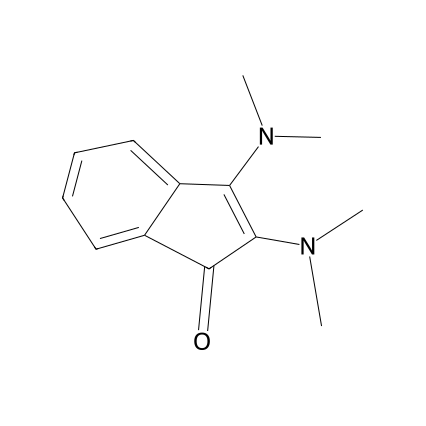 CN(C)C1=C(N(C)C)c2ccccc2C1=O